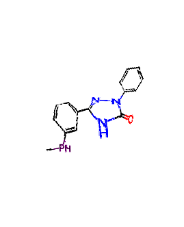 CPc1cccc(-c2nn(-c3ccccc3)c(=O)[nH]2)c1